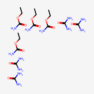 CCOC(N)=O.CCOC(N)=O.CCOC(N)=O.CCOC(N)=O.NC(N)=O.NC(N)=O.NC(N)=O.NC(N)=O